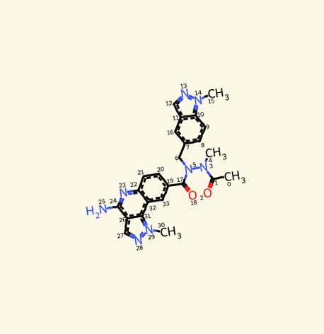 CC(=O)N(C)N(Cc1ccc2c(cnn2C)c1)C(=O)c1ccc2nc(N)c3cnn(C)c3c2c1